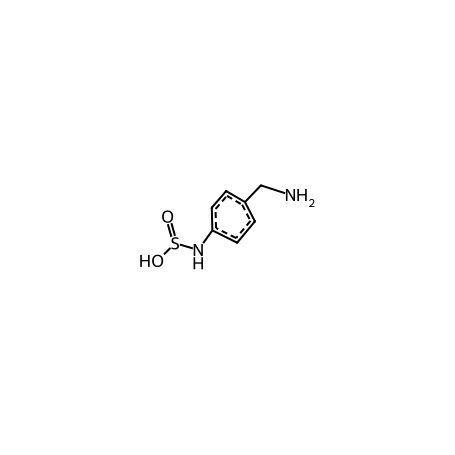 NCc1ccc(NS(=O)O)cc1